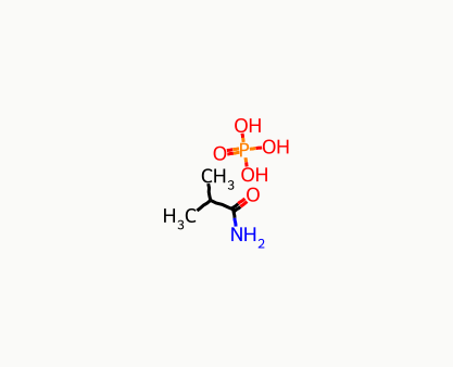 CC(C)C(N)=O.O=P(O)(O)O